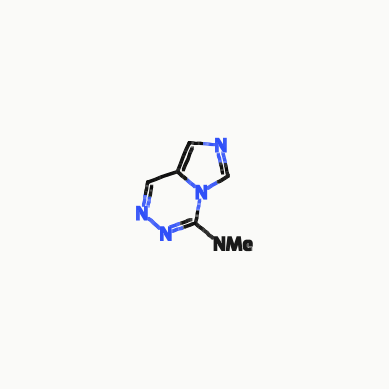 CNc1nncc2cncn12